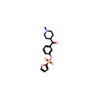 CN1CCC(C(=O)c2cccc(OS(=O)(=O)c3ccco3)c2)CC1